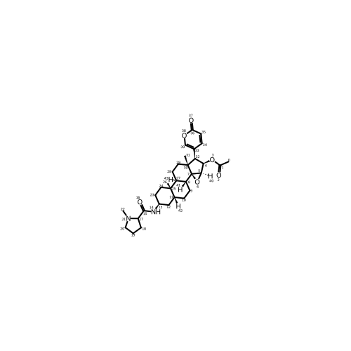 CC(=O)O[C@H]1[C@H]2O[C@]23[C@@H]2CC[C@@H]4C[C@@H](NC(=O)C5CCCN5C)CC[C@]4(C)[C@H]2CC[C@]3(C)[C@H]1c1ccc(=O)oc1